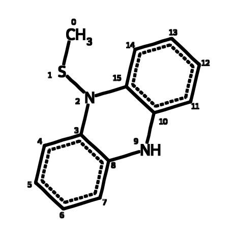 CSN1c2ccccc2Nc2ccccc21